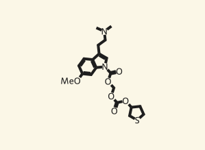 COc1ccc2c(CCN(C)C)cn(C(=O)OCOC(=O)OC3CCSC3)c2c1